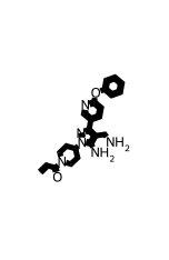 C=CC(=O)N1CCC(n2nc(-c3ccc(Oc4ccccc4)nc3)c(CN)c2N)CC1